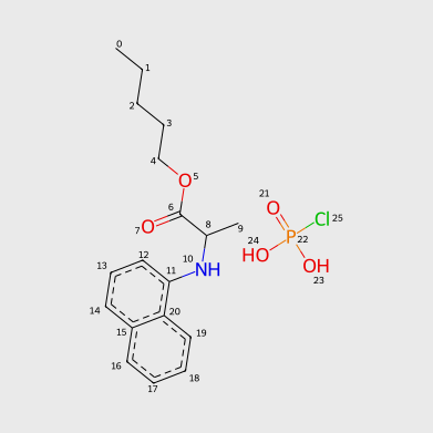 CCCCCOC(=O)C(C)Nc1cccc2ccccc12.O=P(O)(O)Cl